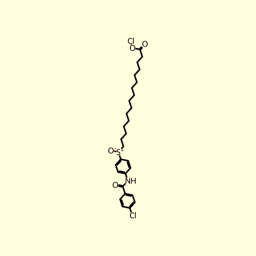 O=C(CCCCCCCCCCCCCCC[S+]([O-])c1ccc(NC(=O)c2ccc(Cl)cc2)cc1)OCl